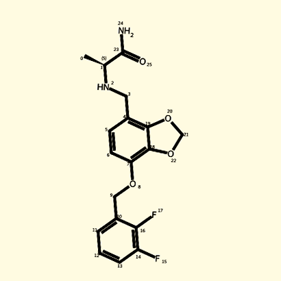 C[C@H](NCc1ccc(OCc2cccc(F)c2F)c2c1OCO2)C(N)=O